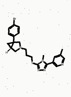 Cc1cncc(-c2nnc(SCCCN3C[C@@H]4CC4(c4ccc(Br)cc4)C3)n2C)c1